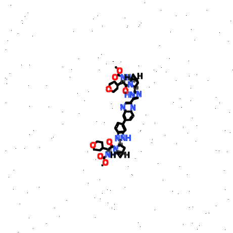 COC(=O)N[C@H](C(=O)N1[C@@H]2C[C@@H]2C[C@H]1c1ncc(-c2cnc3cc(-c4ccc5nc([C@@H]6C[C@H]7C[C@H]7N6C(=O)[C@@H](NC(=O)OC)C6CCOCC6)[nH]c5c4)ccc3n2)[nH]1)C1CCOCC1